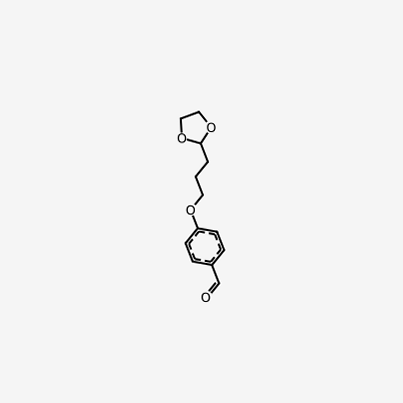 O=Cc1ccc(OCCCC2OCCO2)cc1